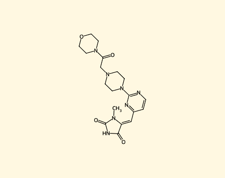 CN1C(=O)NC(=O)C1=Cc1ccnc(N2CCN(CC(=O)N3CCOCC3)CC2)n1